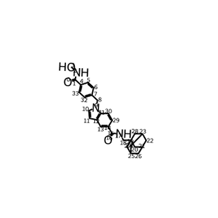 O=C(NO)c1ccc(Cn2ccc3cc(C(=O)NCC45CC6CC(CC(C6)C4)C5)ccc32)cc1